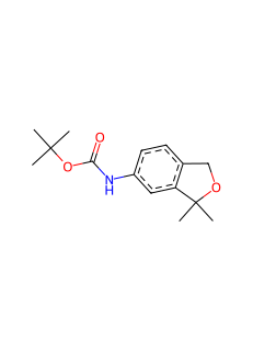 CC(C)(C)OC(=O)Nc1ccc2c(c1)C(C)(C)OC2